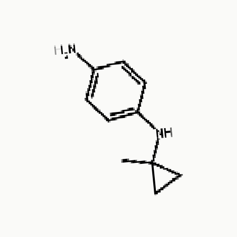 CC1(Nc2ccc(N)cc2)CC1